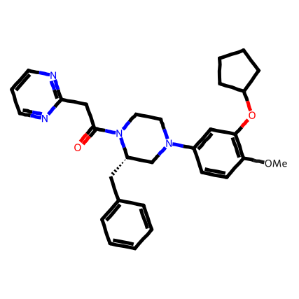 COc1ccc(N2CCN(C(=O)Cc3ncccn3)[C@@H](Cc3ccccc3)C2)cc1OC1CCCC1